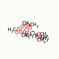 CO[C@@H](c1ccc(B2OC(C)(C)C(C)(C)O2)cc1)[C@@H](OC(C)=O)C(OC(C)=O)[C@@H](CCOC(C)=O)OC(C)=O